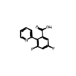 O=C(O)c1cc(F)cc(F)c1-c1ccccn1